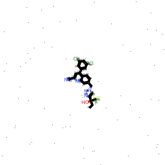 CCC(O)(c1cn(Cc2ccc3c(-c4cc(Cl)cc(Cl)c4)cc(C#N)nc3c2)nn1)C(F)(F)F